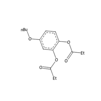 CCCCOc1ccc(OC(=O)CC)c(OC(=O)CC)c1